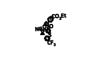 CCOC(=O)N1CCC(N2CCC2C(=O)N2C[C@H](Sc3cccc(C(F)(F)F)c3)C[C@H]2C(=O)N(C#N)C2CC2)CC1